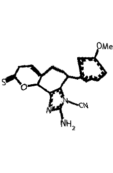 COc1cccc(C2CC3=CCC(=S)OC3c3nc(N)n(C#N)c32)c1